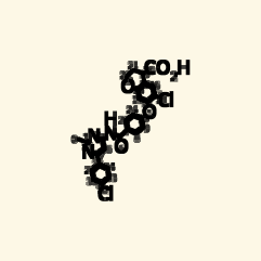 Cc1nc(NC(=O)c2ccc(Oc3cc4c(cc3Cl)C(C(=O)O)CCO4)cc2)cc(-c2ccc(Cl)cc2)n1